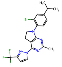 Cc1nc2c(c(-n3ccc(C(F)(F)F)n3)n1)CCN2c1ccc(C(C)C)cc1Br